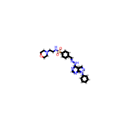 O=S(=O)(NCCN1CCOCC1)c1ccc(C=NNc2ncnc3c2cnn3-c2ccccc2)cc1